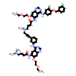 CCOCCOc1cc2ncnc(Nc3cccc(C#CCN(C)C/C=C/C(=O)Nc4cc5c(Nc6ccc(OCc7cccc(F)c7)c(Cl)c6)ncnc5cc4OCCOCC)c3)c2cc1NC(=O)/C=C/CN(C)C